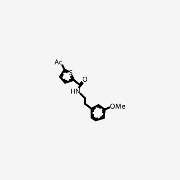 COc1cccc(CCNC(=O)c2ccc(C(C)=O)s2)c1